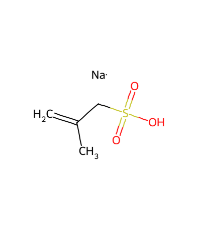 C=C(C)CS(=O)(=O)O.[Na]